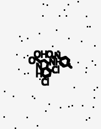 Cc1ccc(N(C)C(=O)NC2CC(C(=O)O)Nc3cc(Cl)cc(Cl)c32)cc1